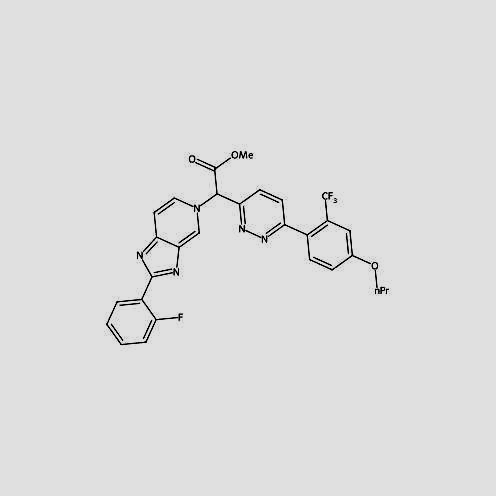 CCCOc1ccc(-c2ccc(C(C(=O)OC)n3ccc4nc(-c5ccccc5F)nc-4c3)nn2)c(C(F)(F)F)c1